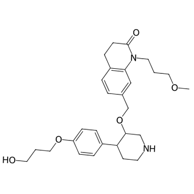 COCCCN1C(=O)CCc2ccc(COC3CNCCC3c3ccc(OCCCO)cc3)cc21